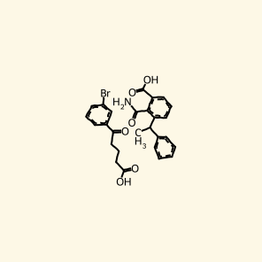 CC(c1ccccc1)c1cccc(C(=O)O)c1C(N)=O.O=C(O)CCCC(=O)c1cccc(Br)c1